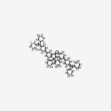 c1ccc(N(c2ccccc2)c2ccc(-c3ccc4c(c3)-c3oc5ccc(-c6ccc(N(c7ccccc7)c7ccccc7)cc6)cc5c3C4(c3ccccc3)c3ccccc3)cc2)cc1